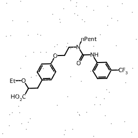 CCCCCN(CCOc1ccc(CC(OCC)C(=O)O)cc1)C(=O)Nc1cccc(C(F)(F)F)c1